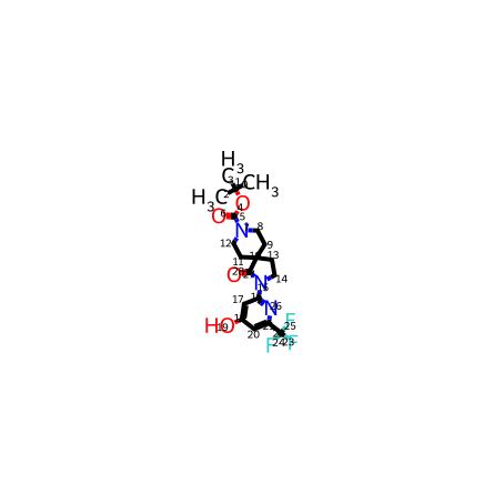 CC(C)(C)OC(=O)N1CCC2(CC1)CCN(c1cc(O)cc(C(F)(F)F)n1)C2=O